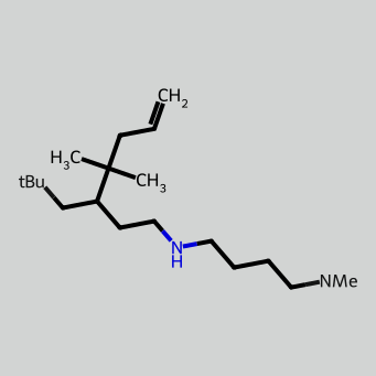 C=CCC(C)(C)C(CCNCCCCNC)CC(C)(C)C